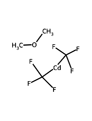 COC.F[C](F)(F)[Cd][C](F)(F)F